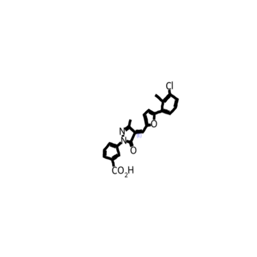 CC1=NN(c2cccc(C(=O)O)c2)C(=O)/C1=C/c1ccc(-c2cccc(Cl)c2C)o1